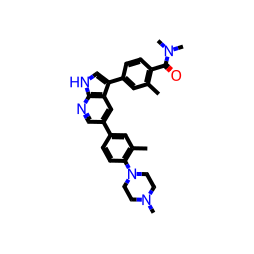 Cc1cc(-c2c[nH]c3ncc(-c4ccc(N5CCN(C)CC5)c(C)c4)cc23)ccc1C(=O)N(C)C